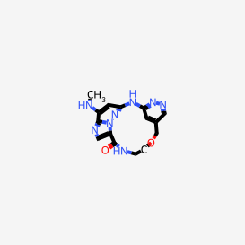 CNc1cc2nn3c(cnc13)C(=O)NCCOCc1cnnc(c1)N2